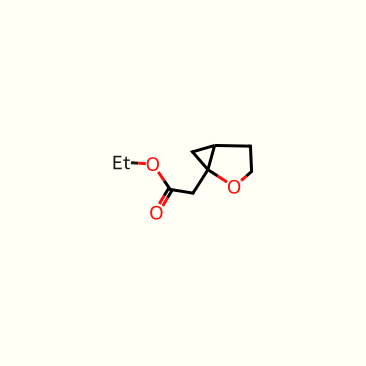 CCOC(=O)CC12CC1CCO2